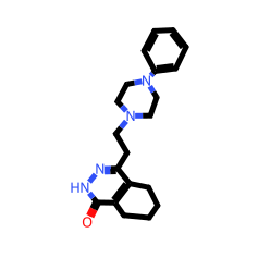 O=c1[nH]nc(CCN2CCN(c3ccccc3)CC2)c2c1CCCC2